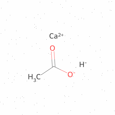 CC(=O)[O-].[Ca+2].[H-]